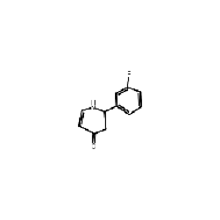 O=C1C=CNC(c2cccc(F)c2)C1